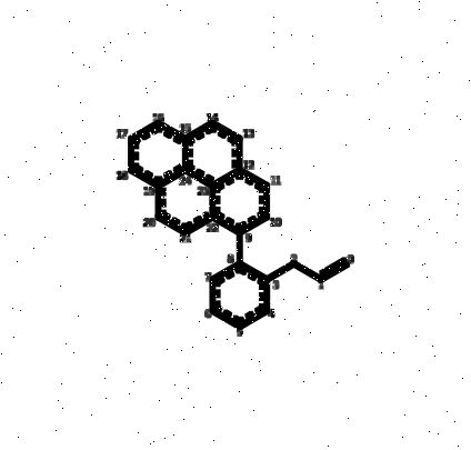 C=CCc1ccccc1-c1ccc2ccc3cccc4ccc1c2c34